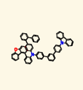 c1ccc(-c2ccccc2-c2ccc(N(c3ccc(-c4cccc(-c5ccc(-n6c7ccccc7c7ccccc76)cc5)c4)cc3)c3ccccc3-c3cccc4oc5ccccc5c34)cc2)cc1